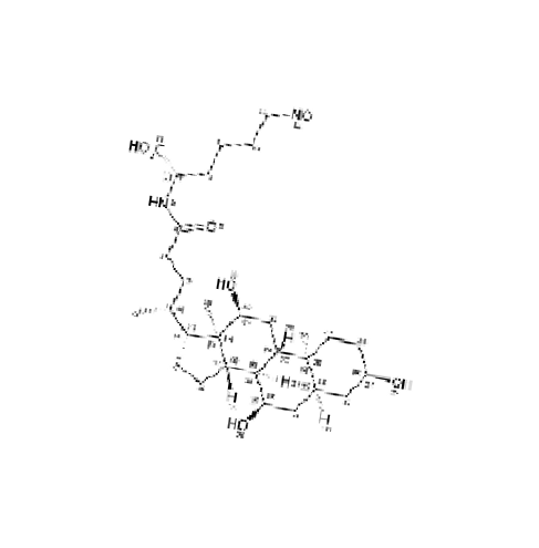 C[C@H](CCC(=O)N[C@@H](CCCCN=O)C(=O)O)[C@H]1CC[C@H]2[C@@H]3[C@H](O)C[C@@H]4C[C@H](O)CC[C@]4(C)[C@H]3C[C@H](O)[C@]12C